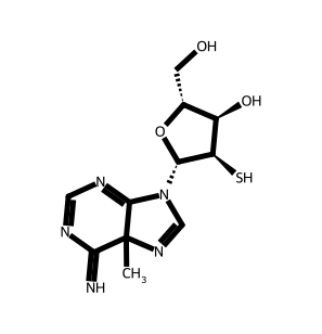 CC12N=CN([C@@H]3O[C@H](CO)[C@@H](O)[C@H]3S)C1=NC=NC2=N